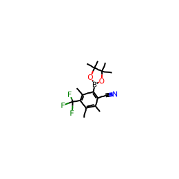 Cc1c(C)c(C(F)(F)F)c(C)c(B2OC(C)(C)C(C)(C)O2)c1C#N